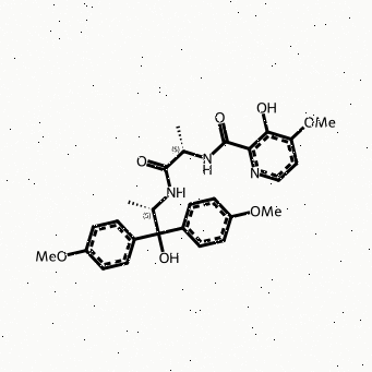 COc1ccc(C(O)(c2ccc(OC)cc2)[C@H](C)NC(=O)[C@H](C)NC(=O)c2nccc(OC)c2O)cc1